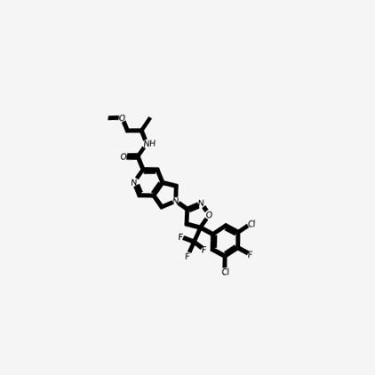 COCC(C)NC(=O)c1cc2c(cn1)CN(C1=NOC(c3cc(Cl)c(F)c(Cl)c3)(C(F)(F)F)C1)C2